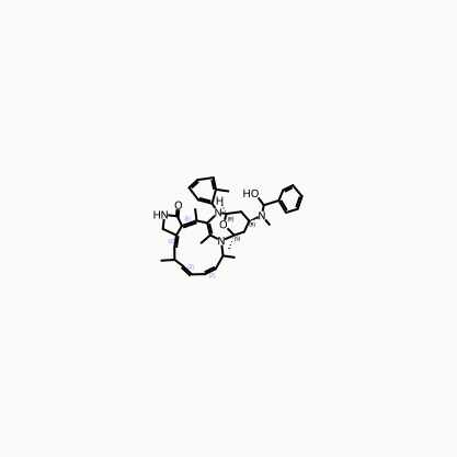 CC1=C2/C(C)=C3/C(=O)NC/C3=C\C(C)/C=C\C=C/C(C)N1[C@]1(C)C[C@H](N(C)C(O)c3ccccc3)C[C@@H](O1)N2c1ccccc1C